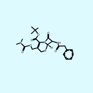 CN(C)C(=O)OCC1=C(C(=O)OC(C)(C)C)N2C(=O)C(NC(=O)Cc3ccccc3)[C@@H]2SC1